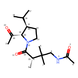 CC(=O)NCC(C)(C)[C@H](C)C(=O)N1CC[C@H](C(C)C)[C@H]1C(C)=O